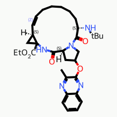 CCOC(=O)C12C[C@H]1/C=C\CCCCC[C@H](NC(C)(C)C)C(=O)N1CC(Oc3nc4ccccc4nc3C)C[C@H]1C(=O)N2